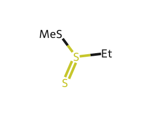 CCS(=S)SC